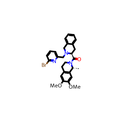 COc1cc2c(cc1OC)[C@@H](C)N(C(=O)[C@@H]1Cc3ccccc3CN1Cc1cccc(Br)n1)CC2